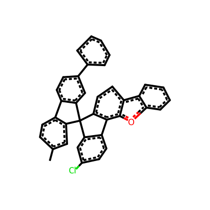 Cc1ccc2c(c1)C1(c3cc(-c4ccccc4)ccc3-2)c2cc(Cl)ccc2-c2c1ccc1c2oc2ccccc21